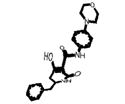 O=C(Nc1ccc(N2CCOCC2)cc1)C1=C(O)CC(Cc2ccccc2)NC1=O